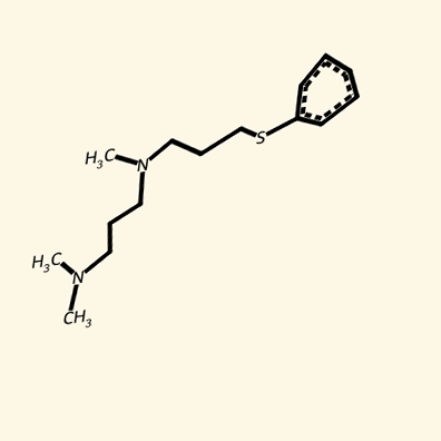 CN(C)CCCN(C)CCCSc1ccccc1